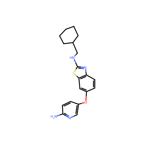 Nc1ccc(Oc2ccc3nc(NCC4CCCCC4)sc3c2)cn1